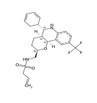 C=CCS(=O)(=O)NC[C@H]1CC[C@@H]2[C@H](O1)c1cc(C(F)(F)F)ccc1N[C@H]2C1C=CC=CC1